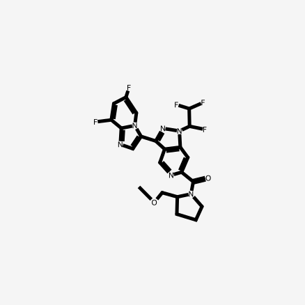 COCC1CCCN1C(=O)c1cc2c(cn1)c(-c1cnc3c(F)cc(F)cn13)nn2C(F)C(F)F